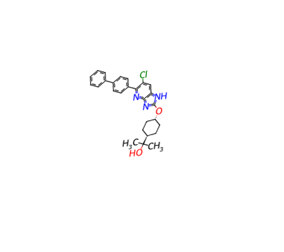 CC(C)(O)[C@H]1CC[C@H](Oc2nc3nc(-c4ccc(-c5ccccc5)cc4)c(Cl)cc3[nH]2)CC1